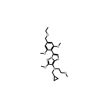 CCOCc1cc(OC)c(-c2csc3c(N(CCOC)CC4CC4)c(OC)nn23)c(OC)c1